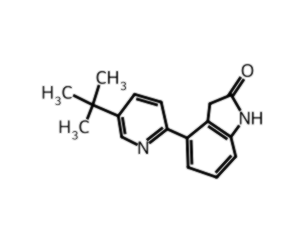 CC(C)(C)c1ccc(-c2cccc3c2CC(=O)N3)nc1